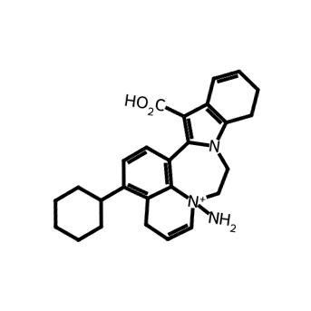 N[N+]12C=CCc3c(C4CCCCC4)ccc(c31)-c1c(C(=O)O)c3c(n1CC2)CCC=C3